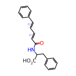 O=C(/C=C/C=C/c1ccccc1)NC(Cc1ccccc1)C(=O)O